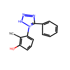 N#Cc1c(O)cccc1-[n+]1[nH]nnc1-c1ccccc1